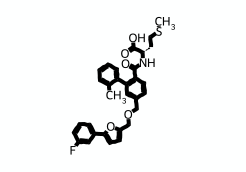 CSCC[C@H](NC(=O)c1ccc(COCc2ccc(-c3cccc(F)c3)o2)cc1-c1ccccc1C)C(=O)O